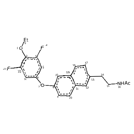 CCOc1c(F)cc(Oc2ccc3cc(CCNC(C)=O)ccc3c2)cc1F